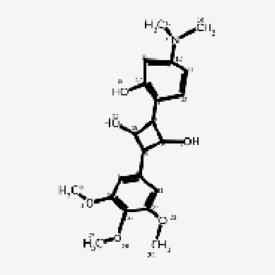 COc1cc(C2C(O)C(c3ccc(N(C)C)cc3O)C2O)cc(OC)c1OC